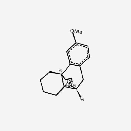 COc1ccc2c(c1)[C@@]13CCCCC1(O)[C@@H](C2)NCC3